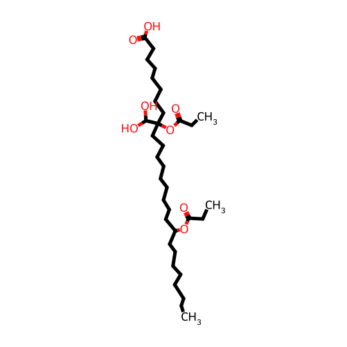 CCCCCCCCC(CCCCCCCCCC(CCCCCCCC(=O)O)(OC(=O)CC)C(O)O)OC(=O)CC